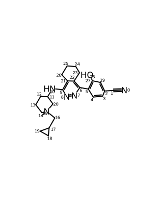 N#Cc1ccc(-c2nnc(NC3CCCN(CC4CC4)C3)c3c2CCCC3)c(O)c1